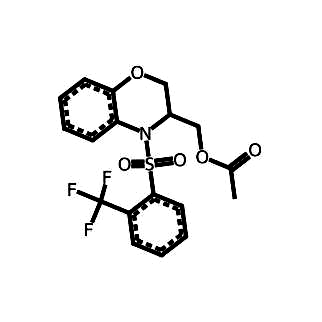 CC(=O)OCC1COc2ccccc2N1S(=O)(=O)c1ccccc1C(F)(F)F